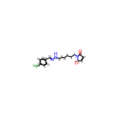 O=C1C=CC(=O)N1CCCCCCN/N=C/c1ccc([18F])cc1